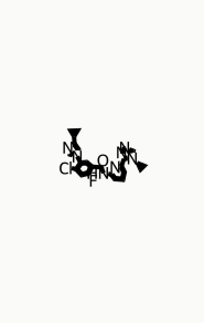 O=C(Nc1cccc(-c2nncn2C2CC2)n1)c1cc(-n2cnc(C3CC3)c2)c(Cl)cc1F